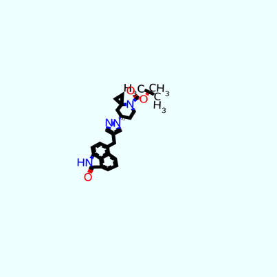 CC(C)(C)OC(=O)N1CC[C@H](n2cc(Cc3ccc4c5c(cccc35)C(=O)N4)cn2)CC12CC2